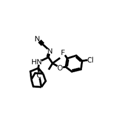 CC(C)(Oc1ccc(Cl)cc1F)/C(=N/C#N)NC12CC3CC(CC1C3)C2